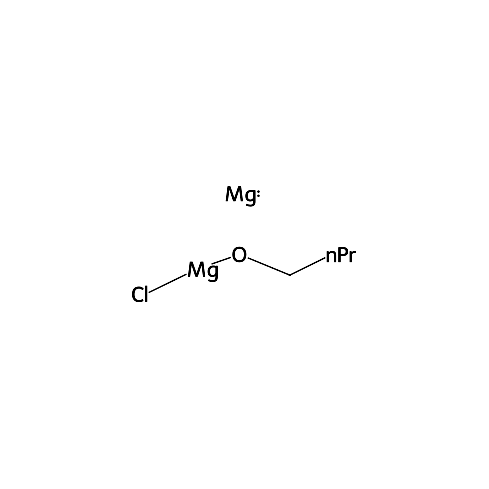 CCCC[O][Mg][Cl].[Mg]